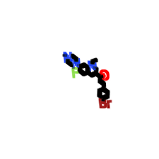 CCN1CC(C(=O)C=Cc2ccc(Br)cc2)=Cc2cc(F)c(N3CCN(C)CC3)cc21